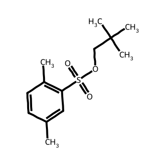 Cc1ccc(C)c(S(=O)(=O)OCC(C)(C)C)c1